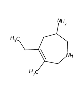 CCC1=C(C)CNCC(N)C1